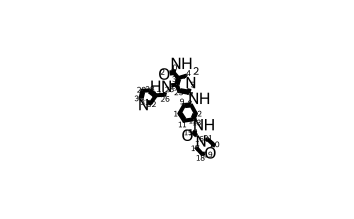 NC(=O)c1cnc(Nc2cccc(NC(=O)N3CCOCC3)c2)cc1NCc1cccnc1